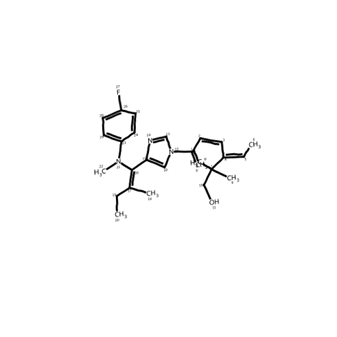 C=C(/C=C\C(=C/C)C(C)(C)CO)n1cnc(/C(=C(\C)CC)N(C)c2ccc(F)cc2)c1